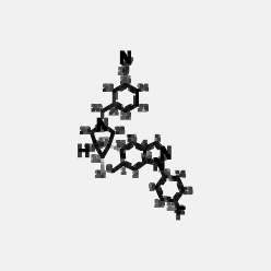 Cc1cc2c(cnn2-c2ccc(F)cc2)cc1[C@@]12CN(Cc3cccc(C#N)c3)C[C@@H]1[C@H]2C